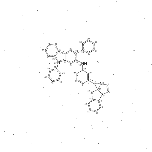 C1=CC(C2N3C=CC4c5ccccc5SC423)=CC(Nc2cc3c(cc2-c2ccccc2)c2ccccc2n3-c2ccccc2)C1